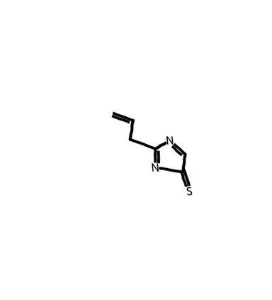 C=CCC1=NC(=S)C=N1